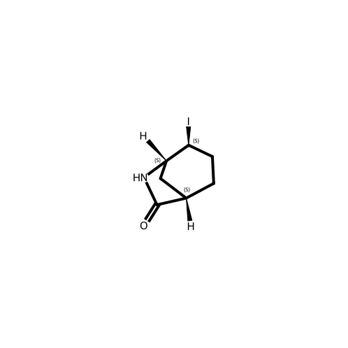 O=C1N[C@H]2C[C@@H]1CC[C@@H]2I